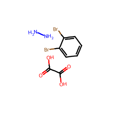 Brc1ccccc1Br.NN.O=C(O)C(=O)O